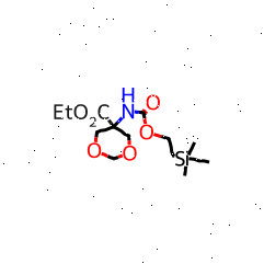 CCOC(=O)C1(NC(=O)OCC[Si](C)(C)C)COCOC1